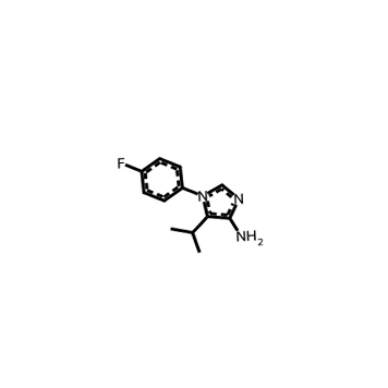 CC(C)c1c(N)ncn1-c1ccc(F)cc1